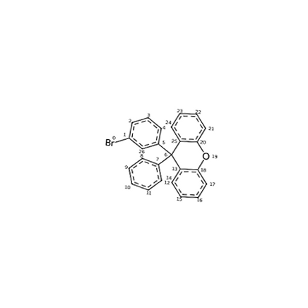 Brc1cccc(C2(c3ccccc3)c3ccccc3Oc3ccccc32)c1